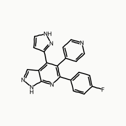 Fc1ccc(-c2nc3[nH]ncc3c(-c3cc[nH]n3)c2-c2ccncc2)cc1